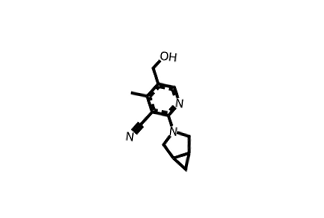 Cc1c(CO)cnc(N2CC3CC3C2)c1C#N